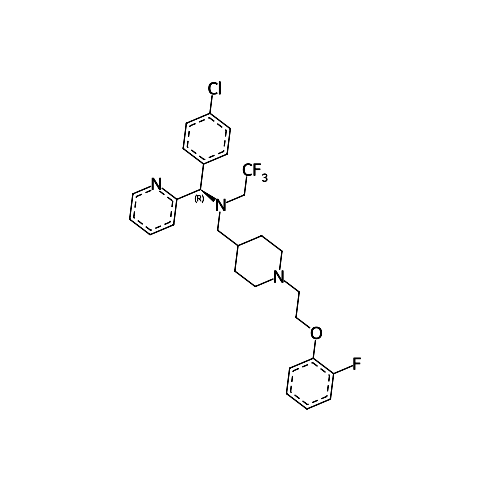 Fc1ccccc1OCCN1CCC(CN(CC(F)(F)F)[C@H](c2ccc(Cl)cc2)c2ccccn2)CC1